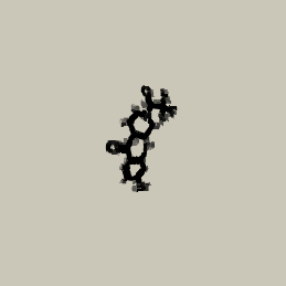 O=C(c1ccc(Br)cc1F)C1CCN(C(=O)C(F)(F)F)CC1